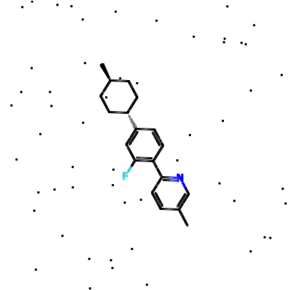 Cc1ccc(-c2ccc([C@H]3CC[C@H](C)CC3)cc2F)nc1